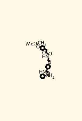 COC(C)Oc1ccc2cc(C(=O)NCCOc3ccc(C(=O)Nc4ccccc4N)cc3)oc2c1